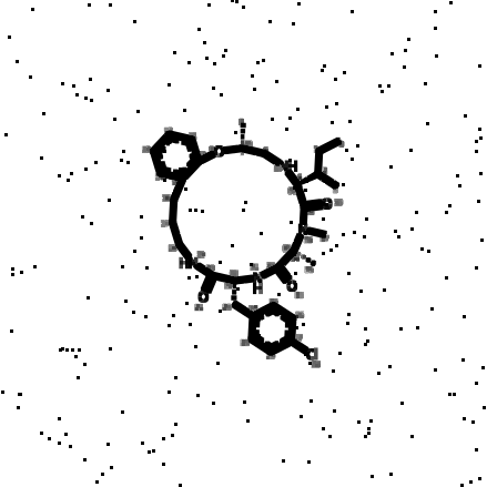 CCC(C)[C@@H]1NC[C@@H](C)Oc2ccccc2CCCNC(=O)[C@@H](Cc2ccc(Cl)cc2)NC(=O)[C@@H](C)N(C)C1=O